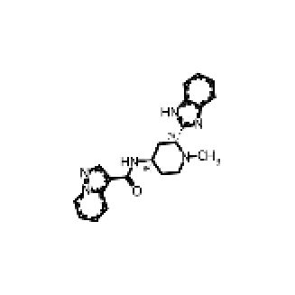 CN1CC[C@@H](NC(=O)c2cnn3ccccc23)C[C@@H]1c1nc2ccccc2[nH]1